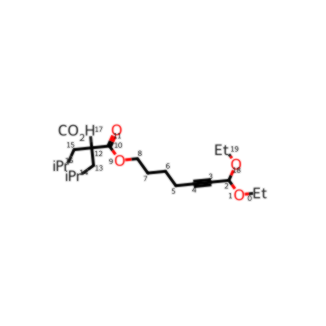 CCOC(C#CCCCCOC(=O)C(CC(C)C)(CC(C)C)C(=O)O)OCC